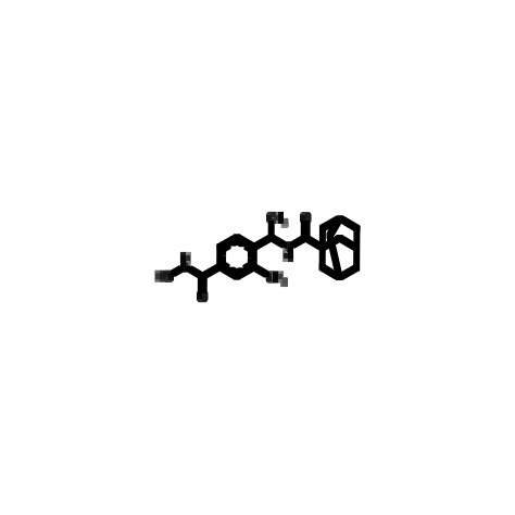 Cc1cc(C(=O)NO)ccc1C(C)NC(=O)C12CC3CC(CC(C3)C1)C2